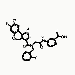 Cn1nc(C(=O)N(CC(=O)Nc2cccc(C(=O)O)c2)Cc2ccccc2F)c2c1-c1cc(Cl)c(F)cc1OC2